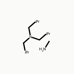 CC(C)CN(CC(C)C)CC(C)C.CN